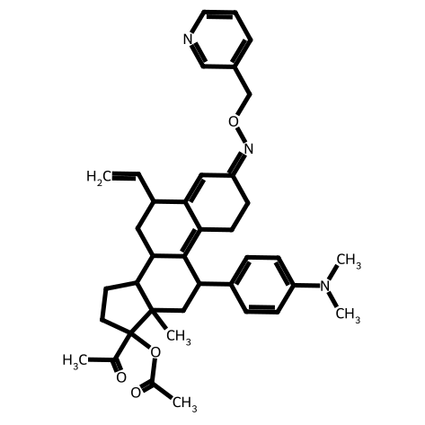 C=CC1CC2C(=C3CC/C(=N/OCc4cccnc4)C=C31)C(c1ccc(N(C)C)cc1)CC1(C)C2CCC1(OC(C)=O)C(C)=O